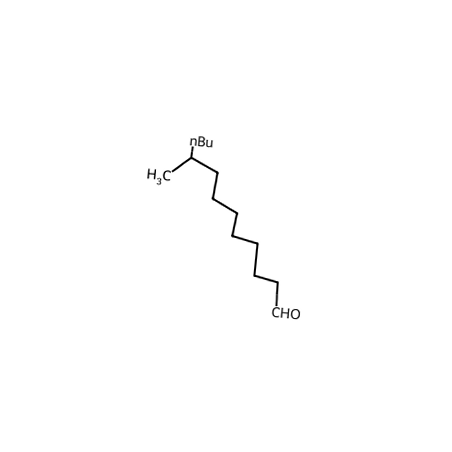 CCCCC(C)CCCCCCCC=O